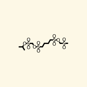 CC(C)OS(=O)(=O)COS(=O)(=O)CCCCS(=O)(=O)OCS(C)(=O)=O